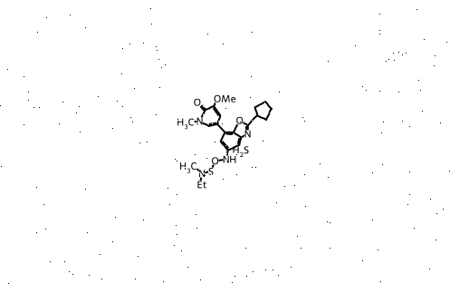 CCN(C)SONc1cc(-c2cc(OC)c(=O)n(C)c2)c2oc(C3CCCC3)nc2c1.S